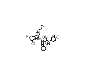 COCCN1CC(c2cc(F)cc(Cl)c2)[C@H](NC(O)Nc2c(C)c(-c3ccc(=O)n(C)c3)nn2-c2ccccc2)C1